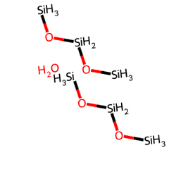 O.[SiH3]O[SiH2]O[SiH3].[SiH3]O[SiH2]O[SiH3]